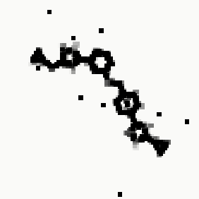 c1cc(NCC23CCC(c4nc(C5CC5)no4)(CC2)CC3)cc(-c2nc(CC3CC3)no2)c1